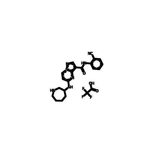 N#Cc1ccccc1NC(=O)c1cnn2ccc(NC3CCCCNC3)nc12.O=C(O)C(F)(F)F